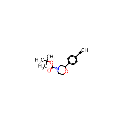 C#Cc1ccc(C2CN(C(=O)OC(C)(C)C)CCO2)cc1